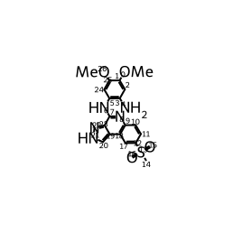 COc1cc(N)c(Nc2nc3ccc(S(C)(=O)=O)cc3c3c[nH]nc23)cc1OC